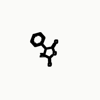 O=[C]1OC(=O)[CH](c2ccccc2)[Zn]1